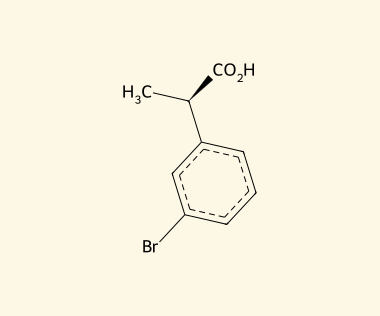 C[C@@H](C(=O)O)c1cccc(Br)c1